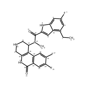 CCc1cc(F)cc2[nH]c(C(=O)N(C)C3CNCc4[nH]c(=O)c5cc(F)c(F)cc5c43)cc12